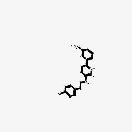 O=C(O)c1cccc(-c2ccc(OCCc3ccc(Cl)cc3)nn2)c1